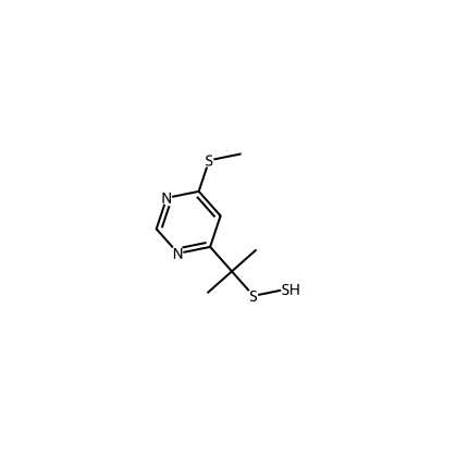 CSc1cc(C(C)(C)SS)ncn1